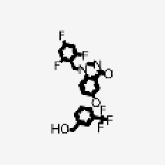 O=c1ncn(Cc2c(F)cc(F)cc2F)c2ccc(Oc3ccc(CO)cc3C(F)(F)F)cc12